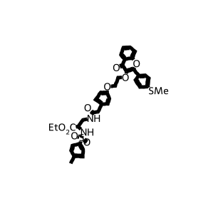 CCOC(=O)C(CNC(=O)Cc1ccc(OCCOc2c(-c3ccc(SC)cc3)oc3ccccc3c2=O)cc1)NS(=O)(=O)c1ccc(C)cc1